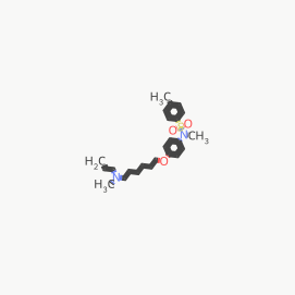 C=CCN(C)CCCCCCOc1ccc(N(C)S(=O)(=O)c2ccc(C)cc2)cc1